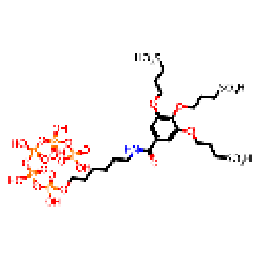 O=C(NCCCCCCOP(=O)(O)OP(=O)(O)OP(=O)(O)OP(=O)(O)OP(=O)(O)O)c1cc(OCCCS(=O)(=O)O)c(OCCCS(=O)(=O)O)c(OCCCS(=O)(=O)O)c1